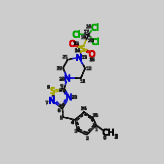 Cc1ccc(Cc2nsc(N3CCN(S(=O)(=O)C(Cl)(Cl)Cl)CC3)n2)cc1